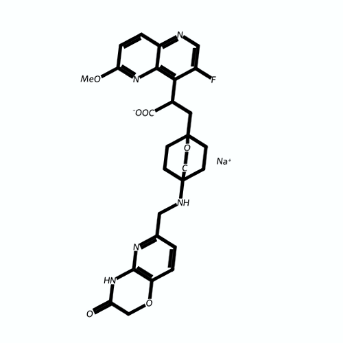 COc1ccc2ncc(F)c(C(CC34CCC(NCc5ccc6c(n5)NC(=O)CO6)(CC3)CO4)C(=O)[O-])c2n1.[Na+]